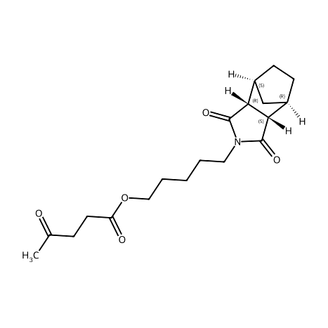 CC(=O)CCC(=O)OCCCCCN1C(=O)[C@@H]2[C@H]3CC[C@H](C3)[C@@H]2C1=O